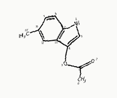 CC(=O)Oc1c[nH]c2ccc(C)cc12